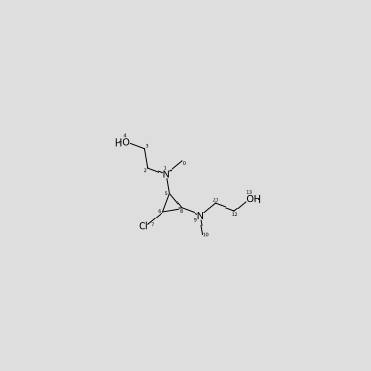 CN(CCO)C1C(Cl)C1N(C)CCO